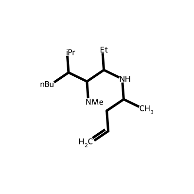 C=CCC(C)NC(CC)C(NC)C(CCCC)C(C)C